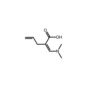 C=CCC(=CN(C)C)C(=O)O